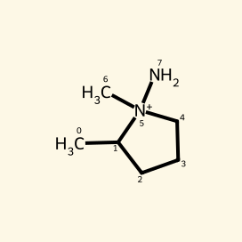 CC1CCC[N+]1(C)N